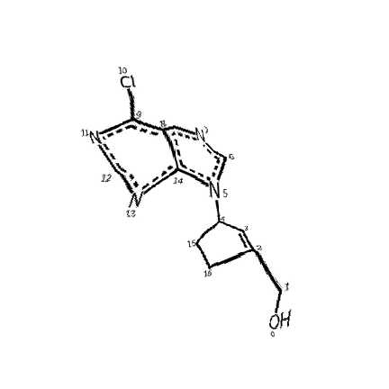 OCC1=CC(n2cnc3c(Cl)ncnc32)CC1